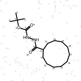 CC(C)(C)OC(=O)NNC(=O)C1CCCCCCCCCC1